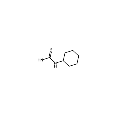 [NH]C(=S)NC1CCCCC1